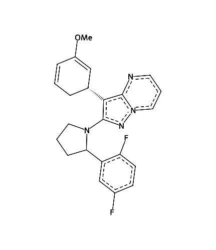 COC1=C[C@H](c2c(N3CCCC3c3cc(F)ccc3F)nn3cccnc23)CC=C1